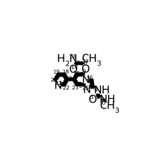 CNC(=O)Nc1cn2c(OC(C)C(N)=O)cc(-c3cccnc3)cc2n1